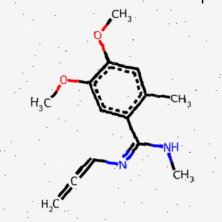 C=C=C/N=C(/NC)c1cc(OC)c(OC)cc1C